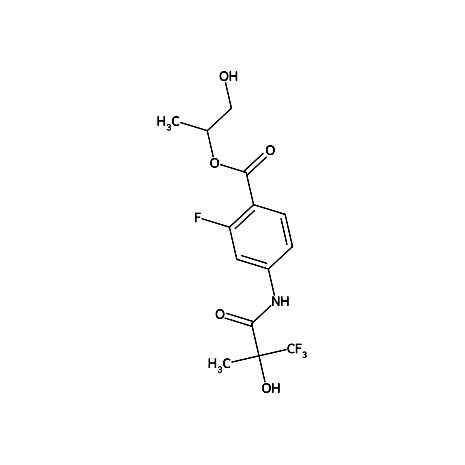 CC(CO)OC(=O)c1ccc(NC(=O)C(C)(O)C(F)(F)F)cc1F